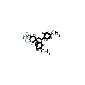 CCC(CCc1ccc(C)cc1)(C[SiH](Cl)Cl)c1ccc(C)cc1